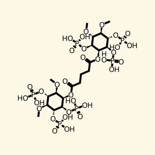 CO[C@@H]1[C@@H](OC)[C@H](OP(=O)(O)O)[C@@H](OP(=O)(O)O)[C@@H](OC(=O)CCCC(=O)O[C@@H]2[C@H](OC)[C@@H](OP(=O)(O)O)[C@H](OC)[C@@H](OP(=O)(O)O)[C@@H]2OP(=O)(O)O)[C@H]1OP(=O)(O)O